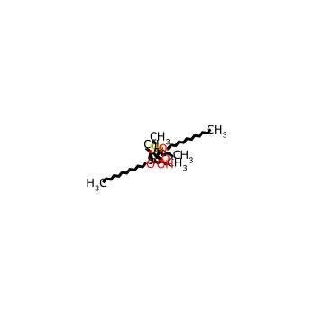 CCCCCCCCCCCC[O][Sn]([CH2]CCC)([CH2]CCC)[C](CS)(C(=O)O)[Sn]([CH2]CCC)([CH2]CCC)[O]CCCCCCCCCCCC